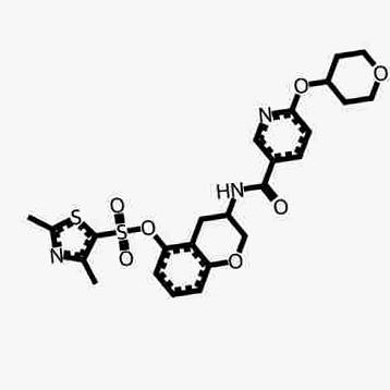 Cc1nc(C)c(S(=O)(=O)Oc2cccc3c2CC(NC(=O)c2ccc(OC4CCOCC4)nc2)CO3)s1